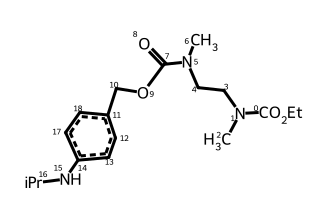 CCOC(=O)N(C)CCN(C)C(=O)OCc1ccc(NC(C)C)cc1